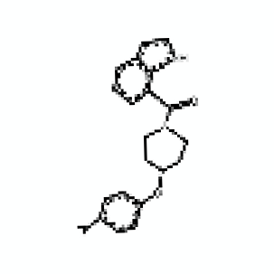 O=C(c1cccc2cc[nH]c12)N1CCC(Oc2ccc(Cl)cc2)CC1